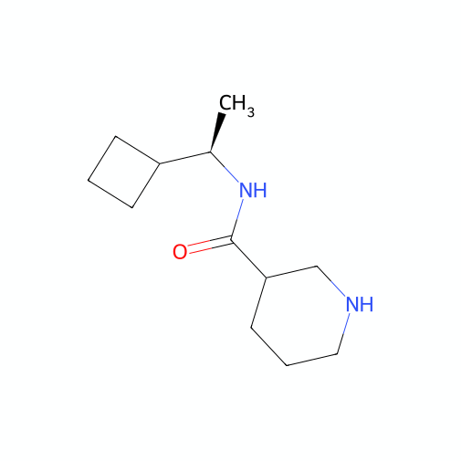 C[C@@H](NC(=O)C1CCCNC1)C1CCC1